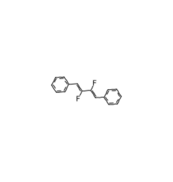 FC(=Cc1ccccc1)C(F)=Cc1ccccc1